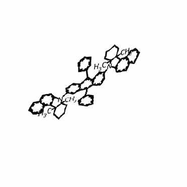 CC12CCCCC1(C)N(c1ccc3c(-c4ccccc4)c4cc(N5c6ccc7ccccc7c6C6(C)CCCCC56C)ccc4c(-c4ccccc4)c3c1)c1ccc3ccccc3c12